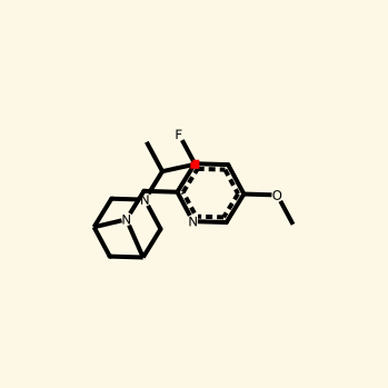 COc1cnc(CN2C3CC2CN(C(C)C)C3)c(F)c1